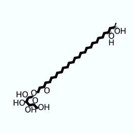 C[C@@H](O)C[C@@H](O)CCCCCCCCCCCCCCCCCCCCCC(=O)CCOC1OC(CO)C(O)C(O)C1O